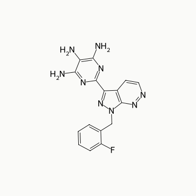 Nc1nc(-c2nn(Cc3ccccc3F)c3nnccc23)nc(N)c1N